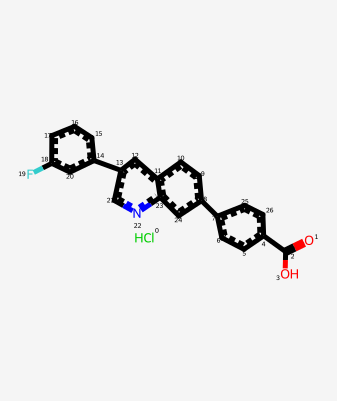 Cl.O=C(O)c1ccc(-c2ccc3cc(-c4cccc(F)c4)cnc3c2)cc1